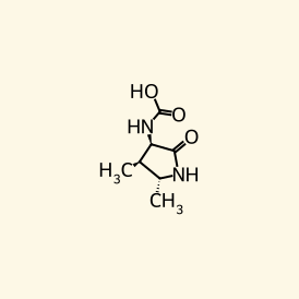 C[C@@H]1[C@@H](C)NC(=O)[C@@H]1NC(=O)O